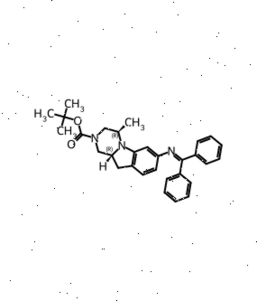 C[C@@H]1CN(C(=O)OC(C)(C)C)C[C@H]2Cc3ccc(N=C(c4ccccc4)c4ccccc4)cc3N21